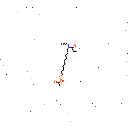 C=CC(=O)N(CCCCCCCCCCO[PH](=O)C(C)O)OC